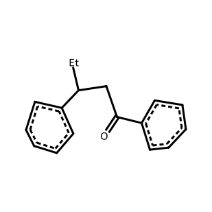 CCC(CC(=O)c1ccccc1)c1ccccc1